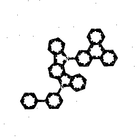 c1ccc(-c2cccc(-n3c4ccccc4c4c3ccc3c5ccccc5n(-c5ccc6c7ccccc7c7ccccc7c6c5)c34)c2)cc1